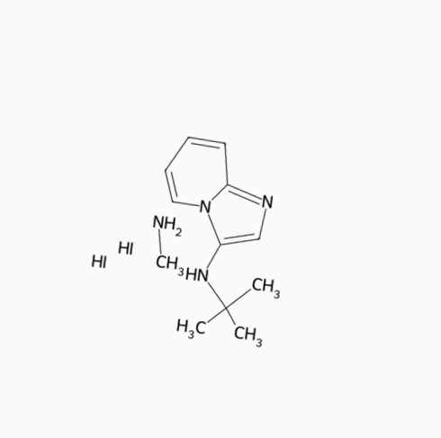 CC(C)(C)Nc1cnc2ccccn12.CN.I.I